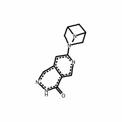 CN1C2CC1CN(c1cc3cn[nH]c(=O)c3cn1)C2